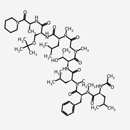 CC(=O)N[C@@H](CC(C)C)C(=O)N(C)[C@@H](Cc1ccccc1)C(=O)N(C)[C@@H](CC(C)C)C(=O)N[C@H](C(=O)N(C)CC(=O)N(C)[C@@H](CC(C)C)C(=O)N[C@@H](COC(C)(C)C)C(=O)N[C@@H](C)C(=O)N1CCCCC1)[C@@H](C)O